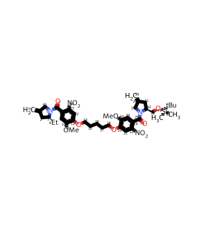 C=C1C[C@@H](CC)N(C(=O)c2cc(OC)c(OCCCCCOc3cc([N+](=O)[O-])c(C(=O)N4CC(=C)C[C@H]4CO[Si](C)(C)C(C)(C)C)cc3OC)cc2[N+](=O)[O-])C1